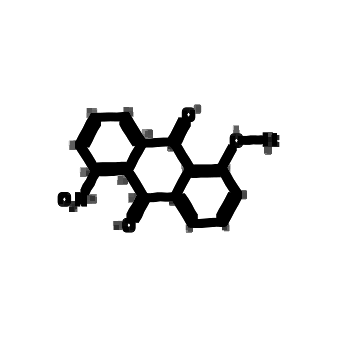 CCOc1cccc2c1C(=O)c1cccc([N+](=O)[O-])c1C2=O